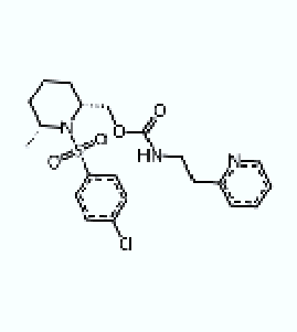 C[C@@H]1CCC[C@H](COC(=O)NCCc2ccccn2)N1S(=O)(=O)c1ccc(Cl)cc1